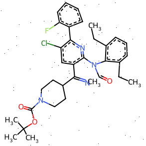 CCc1cccc(CC)c1N(C=O)c1nc(-c2ccccc2F)c(Cl)cc1/C(=N\C)C1CCN(C(=O)OC(C)(C)C)CC1